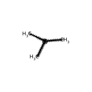 CCCCCCCC/C=C/CCCCCCCCOP(=O)(OCCCCCCCC/C=C/CCCCCCCC)OCCCCCCCC/C=C/CCCCCCCC